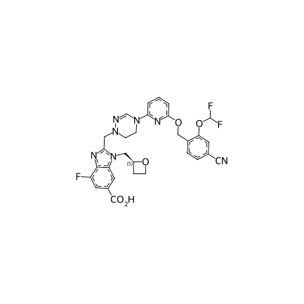 N#Cc1ccc(COc2cccc(N3C=NN(Cc4nc5c(F)cc(C(=O)O)cc5n4C[C@@H]4CCO4)CC3)n2)c(OC(F)F)c1